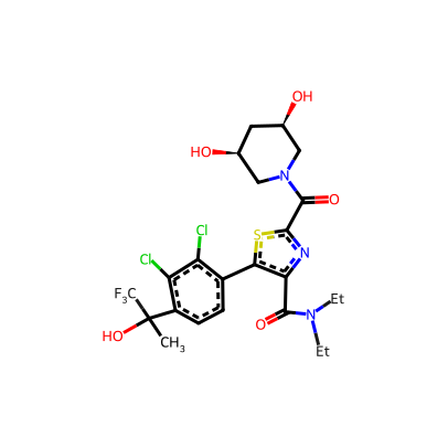 CCN(CC)C(=O)c1nc(C(=O)N2C[C@H](O)C[C@H](O)C2)sc1-c1ccc(C(C)(O)C(F)(F)F)c(Cl)c1Cl